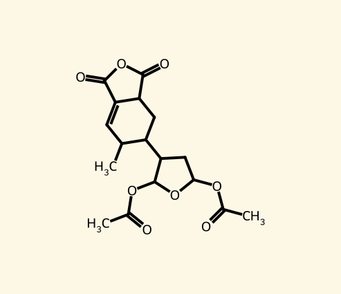 CC(=O)OC1CC(C2CC3C(=O)OC(=O)C3=CC2C)C(OC(C)=O)O1